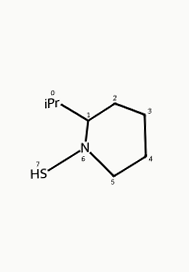 CC(C)C1CCCCN1S